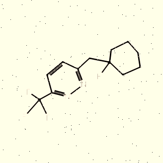 FC1(Cc2ccc(C(F)(F)F)nn2)CCCCC1